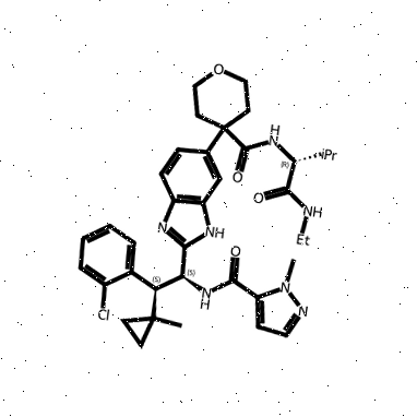 CCNC(=O)[C@H](NC(=O)C1(c2ccc3nc([C@@H](NC(=O)c4ccnn4C)[C@H](c4ccccc4Cl)C4(C)CC4)[nH]c3c2)CCOCC1)C(C)C